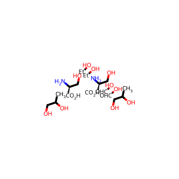 CC(O)CO.CC(O)CO.CCO.CCO.N[C@@H](CO)C(=O)O.N[C@@H](CO)C(=O)O.O=CO.O=CO